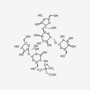 C[N+](C)(C)CC(=O)[O-].OC[C@H]1O[C@@](CO)(O[C@H]2O[C@H](CO)[C@@H](O)[C@H](O)[C@H]2O)[C@@H](O)[C@@H]1O.OC[C@H]1O[C@H](OC[C@H]2O[C@H](O[C@]3(CO)O[C@H](CO)[C@@H](O)[C@@H]3O)[C@H](O)[C@@H](O)[C@@H]2O)[C@H](O)[C@@H](O)[C@H]1O